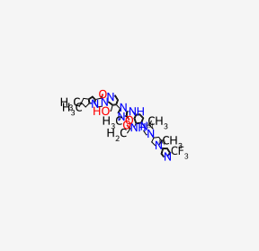 C=CC(=O)Nc1cc(Nc2nc(-c3ccnc(N4CCn5c(cc6c5CC(C)(C)C6)C4=O)c3CO)cn(C)c2=O)ccc1N1CCN(C2CCN(c3ccnc(C(F)(F)F)c3)[C@H](C)C2)C[C@@H]1C